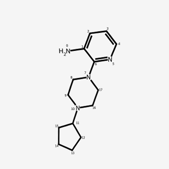 Nc1cccnc1N1CCN(C2CCCC2)CC1